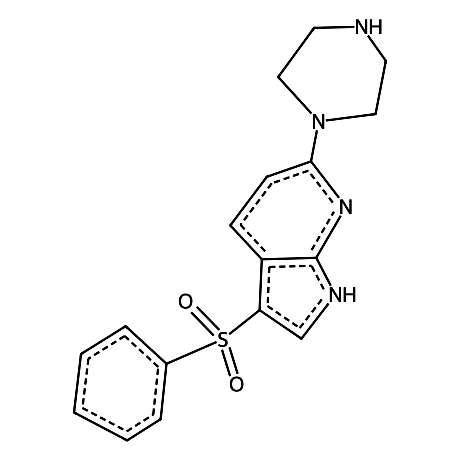 O=S(=O)(c1ccccc1)c1c[nH]c2nc(N3CCNCC3)ccc12